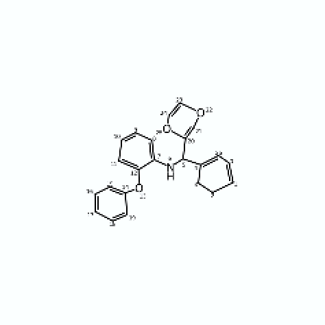 C1=CCCC(C(Nc2ccccc2Oc2ccccc2)C2=COC=CO2)=C1